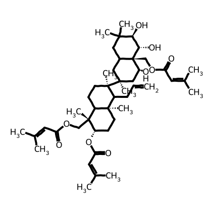 C=CCC1[C@@]2(C)CC[C@H](OC(=O)C=C(C)C)[C@](C)(COC(=O)C=C(C)C)C2CC[C@@]1(C)[C@@]1(C)CC2CC(C)(C)[C@@H](O)[C@H](O)[C@]2(COC(=O)C=C(C)C)[C@H](O)C1